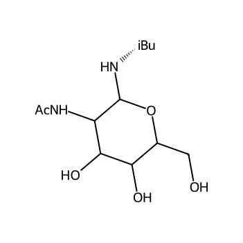 CC[C@@H](C)NC1OC(CO)C(O)C(O)C1NC(C)=O